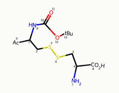 CC(=O)C(CSSCC(N)C(=O)O)NC(=O)OC(C)(C)C